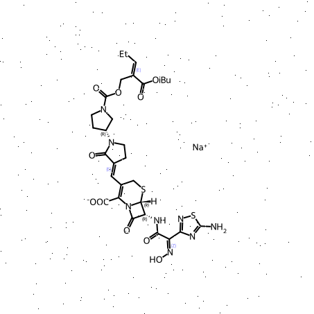 CC/C=C(\COC(=O)N1CC[C@@H](N2CC/C(=C\C3=C(C(=O)[O-])N4C(=O)[C@@H](NC(=O)/C(=N\O)c5nsc(N)n5)[C@H]4SC3)C2=O)C1)C(=O)OCC(C)C.[Na+]